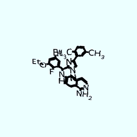 CCOc1cc(CC)cc(C(Nc2ccc3c(N)nccc3c2)c2nc(-c3cc(C)ccc3C)c[nH]2)c1F